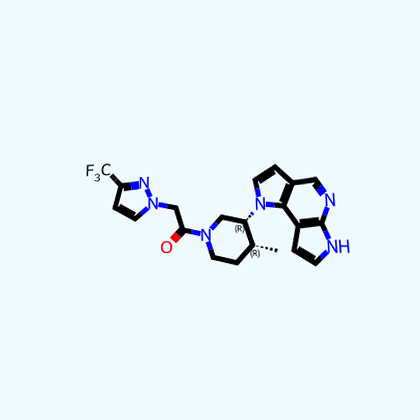 C[C@@H]1CCN(C(=O)Cn2ccc(C(F)(F)F)n2)C[C@@H]1n1ccc2cnc3[nH]ccc3c21